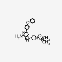 CN(C)CC(=O)N1CCC(n2ncc3c(N)nc(-c4ccc(Oc5ccccc5)cc4)nc32)CC1